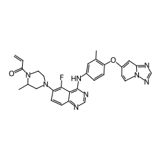 C=CC(=O)N1CCN(c2ccc3ncnc(Nc4ccc(Oc5ccn6ncnc6c5)c(C)c4)c3c2F)CC1C